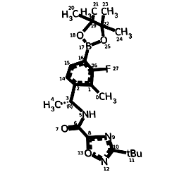 Cc1c([C@@H](C)NC(=O)c2nc(C(C)(C)C)no2)ccc(B2OC(C)(C)C(C)(C)O2)c1F